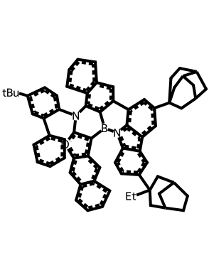 CCC1(c2ccc3c(c2)c2cc(C45CCC6CC(CC6C4)C5)cc4c2n3B2c3c-4cc4ccccc4c3N(c3ccc(C(C)(C)C)cc3-c3ccccc3)c3oc4cc5ccccc5cc4c32)CC2CCC(C2)C1